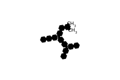 Cc1cc(C)cc(-c2cccc(-c3ccc(N(c4ccc(-c5ccc(-c6ccccc6)cc5)cc4)c4ccc(-c5ccc(N(c6ccc(-c7ccccc7)cc6)c6ccc(-c7ccccc7)cc6)cc5)cc4)cc3)c2)c1